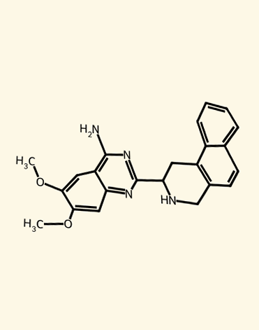 COc1cc2nc(C3Cc4c(ccc5ccccc45)CN3)nc(N)c2cc1OC